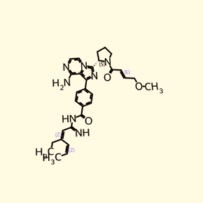 C/C=C\C(=C/C(=N)NC(=O)c1ccc(-c2nc([C@@H]3CCCN3C(=O)/C=C/COC)n3ccnc(N)c23)cc1)CC